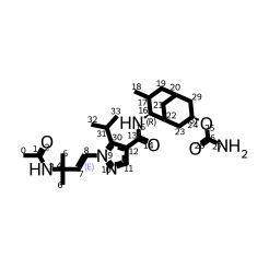 CC(=O)NC(C)(C)/C=C/n1ncc(C(=O)N[C@@H]2C(C)CC3CC2C[C@@H](OC(N)=O)C3)c1C(C)C